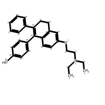 CCN(CC)CCOc1ccc2c(c1)CCC(c1ccccc1)=C2c1ccc(O)cc1